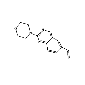 C=Cc1ccc2nc(N3CCOCC3)ncc2c1